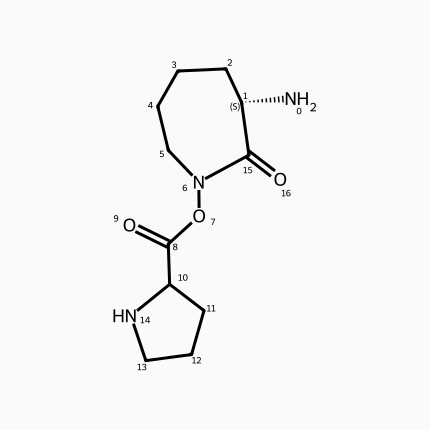 N[C@H]1CCCCN(OC(=O)C2CCCN2)C1=O